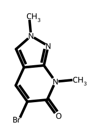 Cn1cc2cc(Br)c(=O)n(C)c2n1